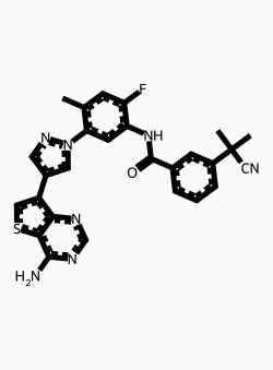 Cc1cc(F)c(NC(=O)c2cccc(C(C)(C)C#N)c2)cc1-n1cc(-c2csc3c(N)ncnc23)cn1